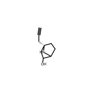 C#CC[C@]12CCC(N1)C(O)C2